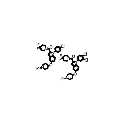 CC(C)N1CCC(Oc2ccc3c(c2)cc(C(=O)N2CCC(F)(F)CC2)n3-c2ccc(Cl)c(Cl)c2)CC1.CC(C)N1CCC(Oc2ccc3c(c2)cc(C(=O)N2CCC(F)(F)CC2)n3-c2ccc(Cl)cc2)CC1